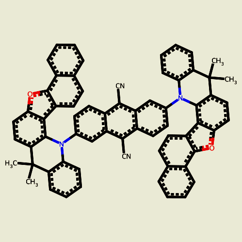 CC1(C)c2ccccc2N(c2ccc3c(C#N)c4cc(N5c6ccccc6C(C)(C)c6ccc7oc8c9ccccc9ccc8c7c65)ccc4c(C#N)c3c2)c2c1ccc1oc3c4ccccc4ccc3c21